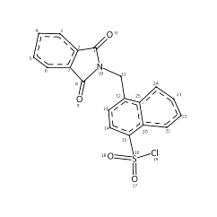 O=C1c2ccccc2C(=O)N1Cc1ccc(S(=O)(=O)Cl)c2ccccc12